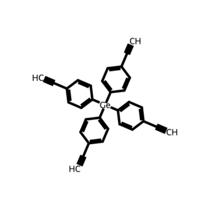 C#Cc1cc[c]([Ge]([c]2ccc(C#C)cc2)([c]2ccc(C#C)cc2)[c]2ccc(C#C)cc2)cc1